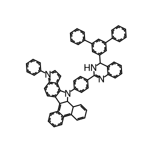 C1=CC2=c3ccccc3=C3c4ccc5c(ccn5-c5ccccc5)c4N(c4ccc(C5=Nc6ccccc6C(c6cc(-c7ccccc7)cc(-c7ccccc7)c6)N5)cc4)C3C2C=C1